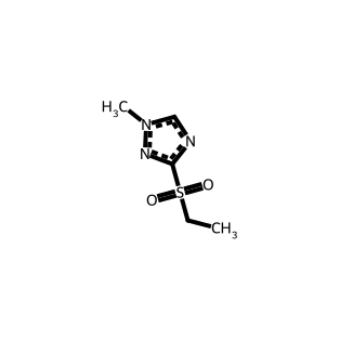 CCS(=O)(=O)c1ncn(C)n1